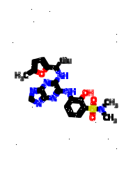 Cc1ccc([C@H](Nc2nc3c(nc2Nc2cccc(S(=O)(=O)N(C)C)c2O)=NCN=3)C(C)(C)C)o1